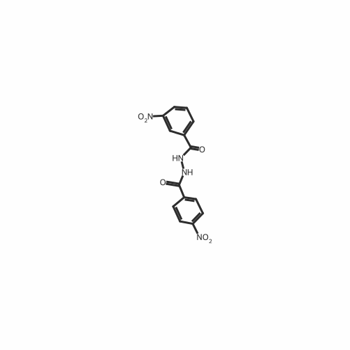 O=C(NNC(=O)c1cccc([N+](=O)[O-])c1)c1ccc([N+](=O)[O-])cc1